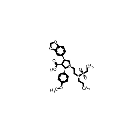 CCCN(CCN1C[C@H](c2ccc3c(c2)OCO3)[C@H](C(=O)O)[C@H]1c1ccc(OC)cc1)S(=O)(=O)CC